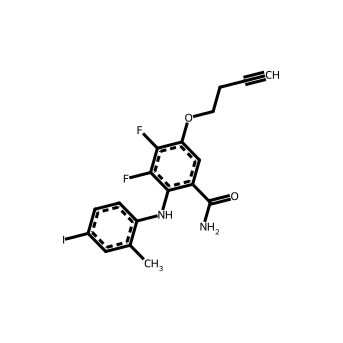 C#CCCOc1cc(C(N)=O)c(Nc2ccc(I)cc2C)c(F)c1F